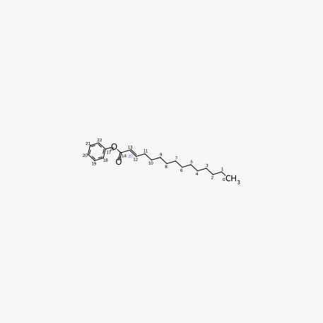 CCCCCCCCCCCC/C=C/C(=O)Oc1ccccc1